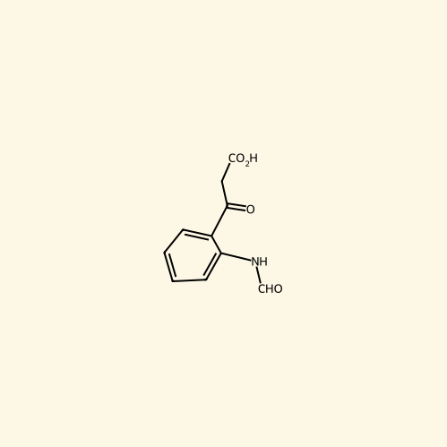 O=CNc1ccccc1C(=O)CC(=O)O